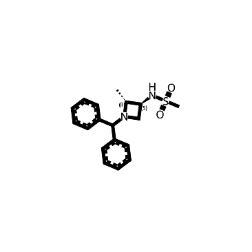 C[C@@H]1[C@@H](NS(C)(=O)=O)CN1C(c1ccccc1)c1ccccc1